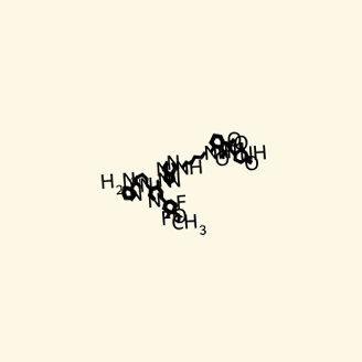 COc1c(F)cc(-c2cc(Cn3cnc4c(NCCCCCNc5cccc6c5C(=O)N(C5CCC(=O)NC5=O)C6=O)ncnc43)c(N3CCC[C@@](N)(c4ccccn4)C3)cn2)cc1F